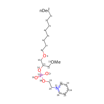 CCCCCCCCCCCCCCCCCCOCC(COC)OP(=O)([O-])OCC[n+]1ccccc1